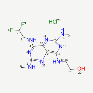 CNc1nc(NCC(F)F)c2nc(NC)nc(NCCO)c2n1.Cl